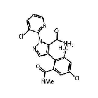 CNC(=O)c1cc(Cl)cc(C)c1-c1cnn(-c2ncccc2Cl)c1C(N)=O